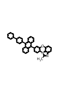 Cc1nc2cccc3c2n1-c1ccc(-c2c4ccccc4c(-c4ccc(-c5ccccc5)cc4)c4ccccc24)cc1O3